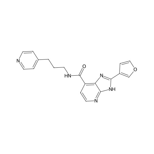 O=C(NCCCc1ccncc1)c1ccnc2[nH]c(-c3ccoc3)nc12